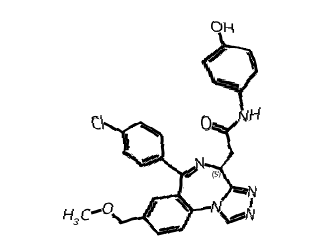 COCc1ccc2c(c1)C(c1ccc(Cl)cc1)=N[C@@H](CC(=O)Nc1ccc(O)cc1)c1nncn1-2